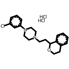 Cl.Cl.Clc1cccc(N2CCN(CCC3OCCc4ccccc43)CC2)c1